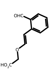 O=Cc1ccccc1C=COCC(=O)O